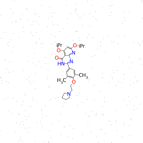 Cc1cc(-c2nc3nc(OC(C)C)cc(OC(C)C)c3c(=O)[nH]2)cc(C)c1OCCN1CCCC1